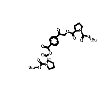 CC(C)(C)OC(=O)N1CCCC1C(=O)OCC(=O)c1ccc(C(=O)OC(=O)[C@@H]2CCCN2C(=O)OC(C)(C)C)cc1